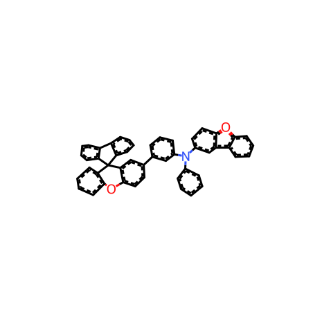 c1ccc(N(c2cccc(-c3ccc4c(c3)C3(c5ccccc5O4)c4ccccc4-c4ccccc43)c2)c2ccc3oc4ccccc4c3c2)cc1